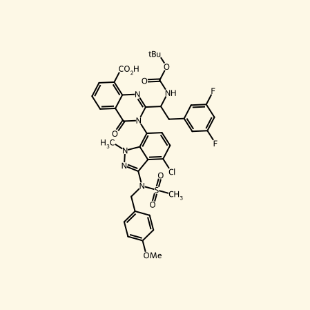 COc1ccc(CN(c2nn(C)c3c(-n4c(C(Cc5cc(F)cc(F)c5)NC(=O)OC(C)(C)C)nc5c(C(=O)O)cccc5c4=O)ccc(Cl)c23)S(C)(=O)=O)cc1